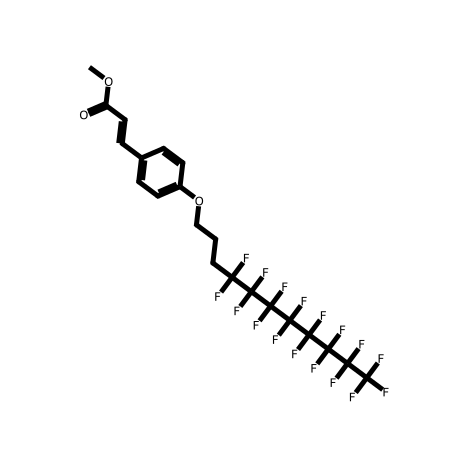 COC(=O)C=Cc1ccc(OCCCC(F)(F)C(F)(F)C(F)(F)C(F)(F)C(F)(F)C(F)(F)C(F)(F)C(F)(F)F)cc1